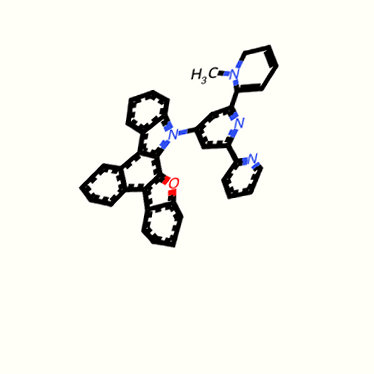 CN1CC=CC=C1c1cc(-n2c3ccccc3c3c4ccccc4c4c5ccccc5oc4c32)cc(-c2ccccn2)n1